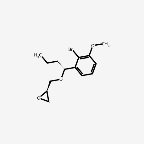 CCC[C@@H](OC[C@H]1CO1)c1cccc(OC)c1Br